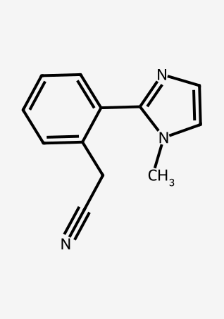 Cn1ccnc1-c1ccccc1CC#N